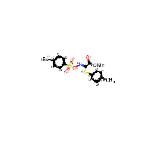 COC(=O)/C(=N/OS(=O)(=O)c1ccc(C(C)(C)C)cc1)Sc1ccc(C)cc1